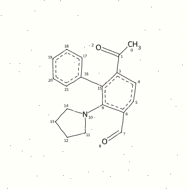 CC(=O)c1ccc(C=O)c(N2CCCC2)c1-c1ccccc1